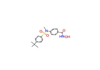 CN(c1ccc(C(=O)NO)cc1)S(=O)(=O)c1ccc(C(C)(C)C)cc1